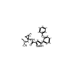 C[C@@H]1C[C@@]1(CN(C)C#N)NC(=O)c1cc(-c2ccccc2Oc2ccccc2)[nH]n1